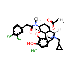 CC(=O)O[C@@]12CC[C@H](N(C)C(=O)Cc3ccc(Cl)c(Cl)c3)[C@@H]3Oc4c(O)ccc5c4[C@@]31CCN(CC1CC1)[C@@H]2C5.Cl